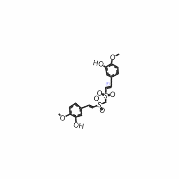 COc1ccc(C=CS(=O)(=O)CS(=O)(=O)/C=C/c2ccc(OC)c(O)c2)cc1O